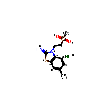 CCS(=O)(=O)CCn1c(=N)sc2cc(C(F)(F)F)ccc21.Cl